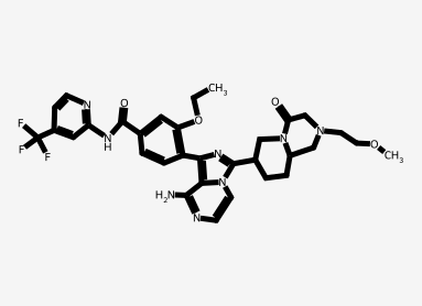 CCOc1cc(C(=O)Nc2cc(C(F)(F)F)ccn2)ccc1-c1nc(C2CCC3CN(CCOC)CC(=O)N3C2)n2ccnc(N)c12